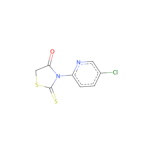 O=C1CSC(=S)N1c1ccc(Cl)cn1